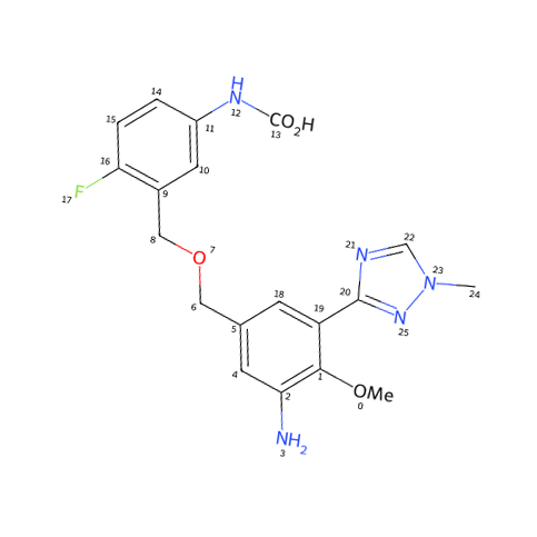 COc1c(N)cc(COCc2cc(NC(=O)O)ccc2F)cc1-c1ncn(C)n1